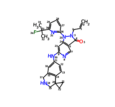 C=CCn1c(=O)c2cnc(Nc3ccc4c(c3)CNCC43CC3)cc2n1-c1cccc(C(C)(C)F)n1